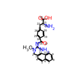 CN(Cc1ccc2ccccc2c1)/C(N)=N/C(=O)c1ccc(C[C@H](N)C(=O)O)cc1